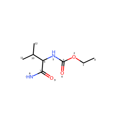 CCOC(=O)NC(C([NH])=O)C(C)C